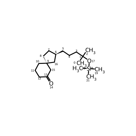 CC(C)(CCC[C@@H]1CC[C@]2(CCCC(=O)C2)C1)O[Si](C)(C)C